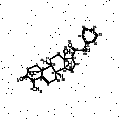 CN1C(=O)CC[C@@]2(C)C1=CC[C@@H]1[C@H]2CC[C@]2(C)C(C(=O)Nc3ccncc3)CC[C@@H]12